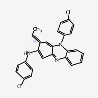 C/C=c1\cc2c(cc1Nc1ccc(Cl)cc1)=Nc1ccccc1N2c1ccc(Cl)cc1